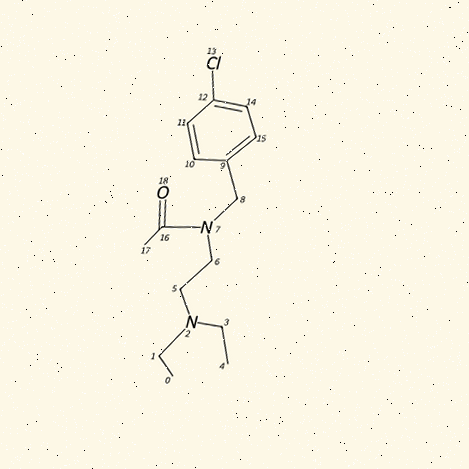 CCN(CC)CCN(Cc1ccc(Cl)cc1)C(C)=O